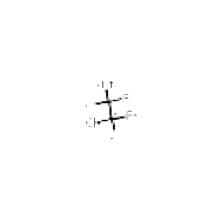 CCC(F)(F)C(F)(F)Cl